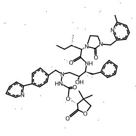 CC[C@H](C)[C@@H](C(=O)N[C@@H](Cc1ccccc1)[C@@H](O)CN(Cc1ccc(-c2ccccn2)cc1)NC(=O)O[C@H]1C(=O)OCC1(C)C)N1CCN(Cc2cccc(C)n2)C1=O